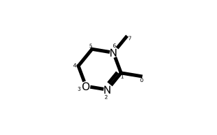 CC1=NOCCN1C